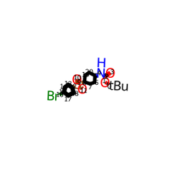 CC(C)(C)OC(=O)NC1CCC(S(=O)(=O)c2ccc(Br)cc2)CC1